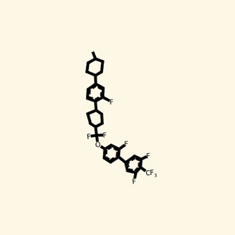 CC1CCC(c2ccc(C3CCC(C(F)(F)Oc4ccc(-c5cc(F)c(C(F)(F)F)c(F)c5)c(F)c4)CC3)c(F)c2)CC1